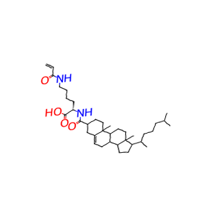 C=CC(=O)NCCCC[C@@H](NC(=O)C1CCC2(C)C(=CCC3C2CCC2(C)C(C(C)CCCC(C)C)CCC32)C1)C(=O)O